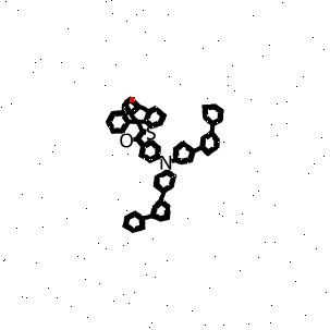 c1ccc(-c2cccc(-c3ccc(N(c4ccc(-c5cccc(-c6ccccc6)c5)cc4)c4ccc5c6c(sc5c4)C4(c5ccccc5O6)c5ccccc5-c5ccccc54)cc3)c2)cc1